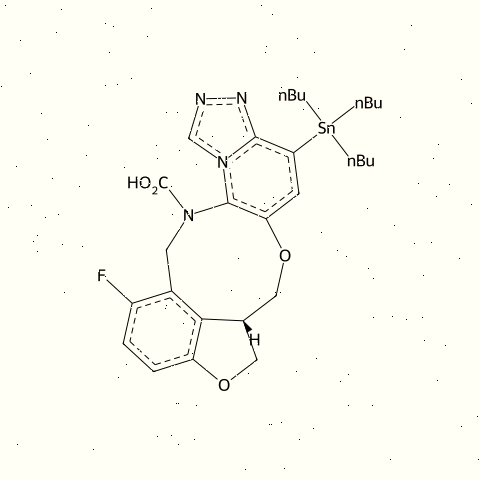 CCC[CH2][Sn]([CH2]CCC)([CH2]CCC)[c]1cc2c(n3cnnc13)N(C(=O)O)Cc1c(F)ccc3c1[C@@H](CO3)CO2